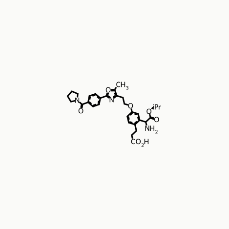 Cc1oc(-c2ccc(C(=O)N3CCCC3)cc2)nc1CCOc1ccc(CCC(=O)O)c(C(N)C(=O)OC(C)C)c1